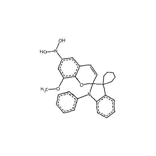 COc1cc(N(O)O)cc2c1OC1(C=C2)N(c2ccccc2)c2ccccc2C12CCCCC2